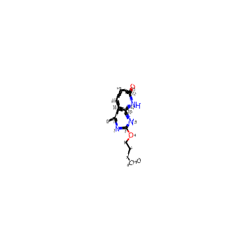 Cc1nc(OCCCC=O)nc2[nH]c(=O)ccc12